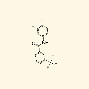 Cc1ccc(NC(=O)c2cccc(C(F)(F)F)c2)cc1C